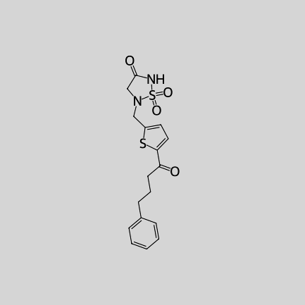 O=C1CN(Cc2ccc(C(=O)CCCc3ccccc3)s2)S(=O)(=O)N1